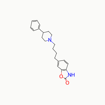 O=c1[nH]c2ccc(CCCCN3CCC(c4ccccc4)CC3)cc2o1